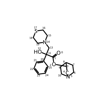 O=C(OC1CN2CCC1CC2)C(O)(CN1CCSCC1)c1ccccc1